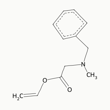 C=COC(=O)CN(C)Cc1ccccc1